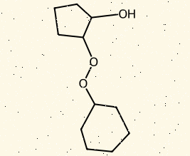 OC1CCCC1OOC1CCCCC1